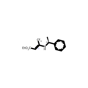 CCOC(=O)/C=C(/N[C@@H](C)c1ccccc1)C(F)(F)F